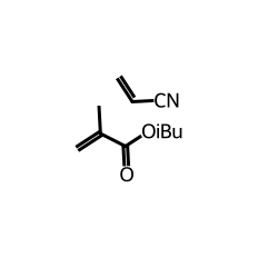 C=C(C)C(=O)OCC(C)C.C=CC#N